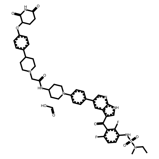 CCN(C)S(=O)(=O)Nc1ccc(F)c(C(=O)c2c[nH]c3ncc(-c4ccc(N5CCC(NC(=O)CN6CCC(c7ccc(OC8CCC(=O)NC8=O)cc7)CC6)CC5)cc4)cc23)c1F.O=CO